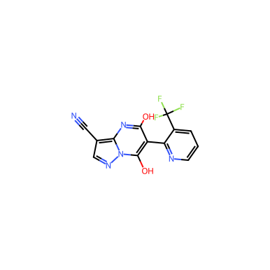 N#Cc1cnn2c(O)c(-c3ncccc3C(F)(F)F)c(O)nc12